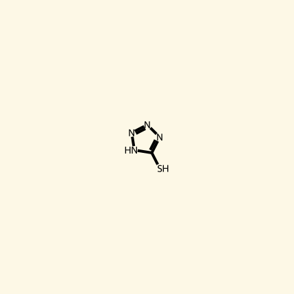 Sc1nnn[nH]1